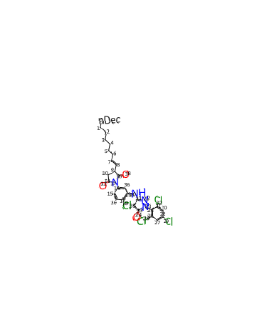 CCCCCCCCCCCCCCCC/C=C/C1CC(=O)N(c2ccc(Cl)c(NC3=NN(c4c(Cl)cc(Cl)cc4Cl)C(=O)C3)c2)C1=O